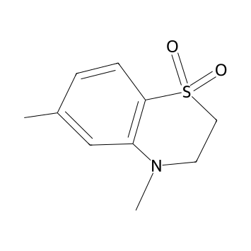 Cc1ccc2c(c1)N(C)CCS2(=O)=O